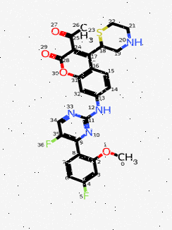 COc1cc(F)ccc1-c1nc(Nc2ccc3c(C4CNCCS4)c(C(C)=O)c(=O)oc3c2)ncc1F